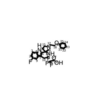 Fc1ccc2[nH]c3c(c2c1)CCNC31CCN(CCOc2ccccc2)C1.O=C(O)C(F)(F)F